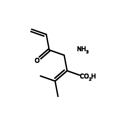 C=CC(=O)CC(C(=O)O)=C(C)C.N